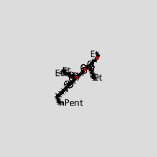 CC/C=C\CCCCOC(CCC(=O)OCCCCC(CCCCOC(=O)CCCCCCC/C=C\C/C=C\CCCCC)OC(=O)OCCCN(CC)CC)OCCCC/C=C\CC